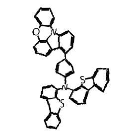 c1ccc2c(c1)Oc1cccc3c4c(-c5ccc(N(c6cccc7c6sc6ccccc67)c6cccc7c6sc6ccccc67)cc5)cccc4n-2c13